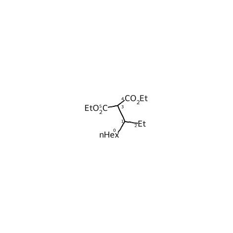 CCCCCCC(CC)C(C(=O)OCC)C(=O)OCC